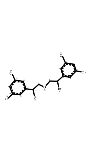 Clc1cc(Cl)cc(C(Br)COCC(Br)c2cc(Cl)cc(Cl)c2)c1